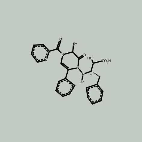 CC(=O)N([C@@H](Cc1ccccc1)C(O)C(=O)O)N1C(=O)C(C(C)C)N(C(=O)c2ccccn2)C=C1c1ccccc1